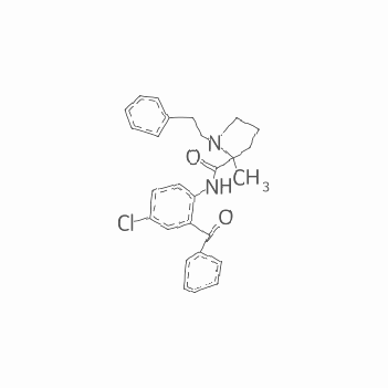 CC1(C(=O)Nc2ccc(Cl)cc2C(=O)c2ccccc2)CCCN1CCc1ccccc1